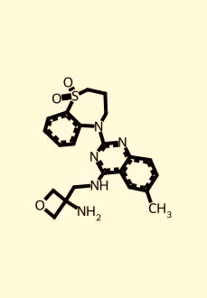 Cc1ccc2nc(N3CCCS(=O)(=O)c4ccccc43)nc(NCC3(N)COC3)c2c1